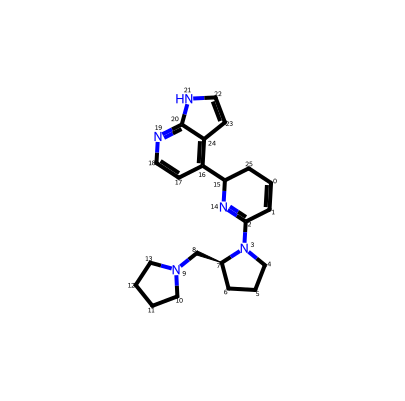 C1=CC(N2CCC[C@H]2CN2CCCC2)=NC(c2ccnc3[nH]ccc23)C1